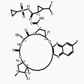 CC[C@@H]1[C@H]2CCCCCc3nc4ccc(F)cc4nc3O[C@@H]3C[C@@H](C(=O)N[C@]4(C(=O)NS(=O)(=O)C5CC5)CC4C(F)F)N(C3)C(=O)[C@H](C(C)(C)C)NC(=O)O[C@@H]2C[C@@H]1C